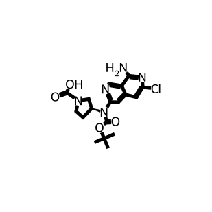 CC(C)(C)OC(=O)N(c1cc2cc(Cl)nc(N)c2cn1)[C@H]1CCN(C(=O)O)C1